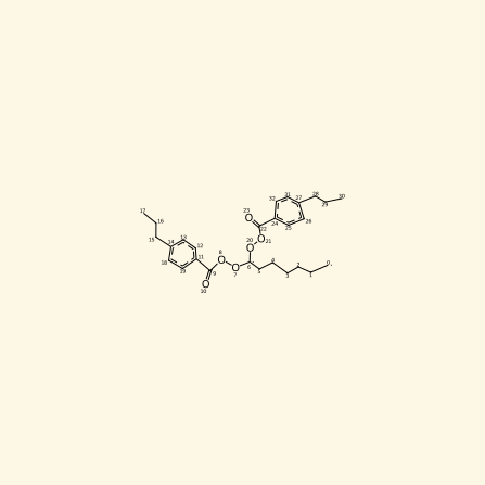 [CH2]CCCCC[C](OOC(=O)c1ccc(CCC)cc1)OOC(=O)c1ccc(CCC)cc1